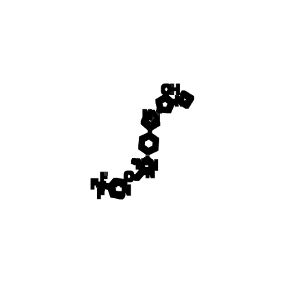 Cn1c(COc2cc(C(F)(F)F)ccn2)nnc1[C@H]1CC[C@H](c2cnn(C3CC(O)C(N4CCC4)C3)c2)CC1